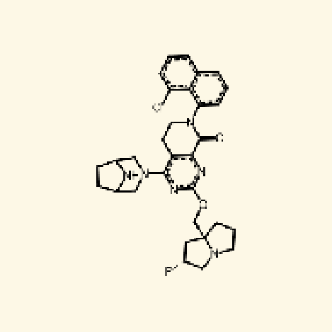 O=C1c2nc(OC[C@@]34CCCN3C[C@H](F)C4)nc(N3CC4CCC(C3)N4)c2CCN1c1cccc2cccc(Cl)c12